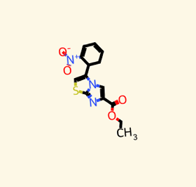 CCOC(=O)c1cn2c(C3CC=CC=C3[N+](=O)[O-])csc2n1